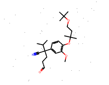 COc1cc(C(C#N)(CCC=O)C(C)C)ccc1OC(C)(C)CCOC(C)(C)C